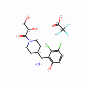 N[C@@H](c1c(O)ccc(Cl)c1Cl)C1CCN(C(=O)[C@H](O)CO)CC1.O=C(O)C(F)(F)F